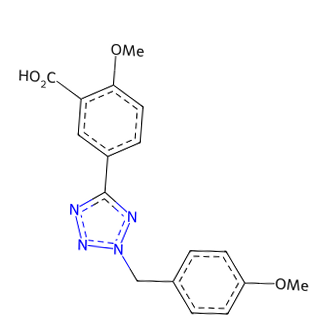 COc1ccc(Cn2nnc(-c3ccc(OC)c(C(=O)O)c3)n2)cc1